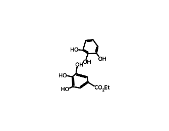 CCOC(=O)c1cc(O)c(O)c(O)c1.Oc1cccc(O)c1O